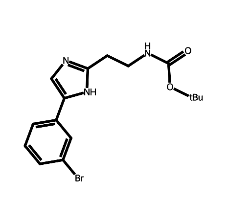 CC(C)(C)OC(=O)NCCc1ncc(-c2cccc(Br)c2)[nH]1